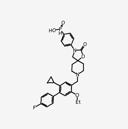 CCOc1cc(-c2ccc(F)cc2)c(C2CC2)cc1CN1CCC2(CC1)CN(c1ccc([PH](=O)O)cc1)C(=O)O2